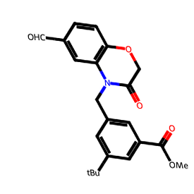 COC(=O)c1cc(CN2C(=O)COc3ccc(C=O)cc32)cc(C(C)(C)C)c1